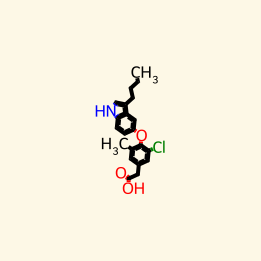 CCCCc1c[nH]c2ccc(Oc3c(C)cc(CC(=O)O)cc3Cl)cc12